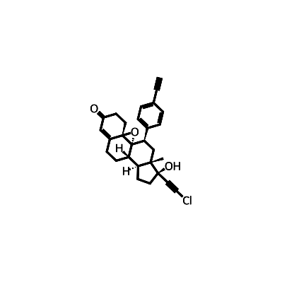 C#Cc1ccc([C@H]2C[C@@]3(C)[C@@H](CC[C@@]3(O)C#CCl)[C@@H]3CCC4=CC(=O)CC[C@]45O[C@]235)cc1